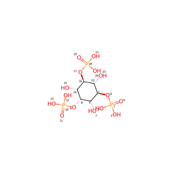 O=P(O)(O)O[C@H]1[C@H](O)[C@H](OP(=O)(O)O)[C@H](O)[C@@H](OP(=O)(O)O)[C@@H]1O